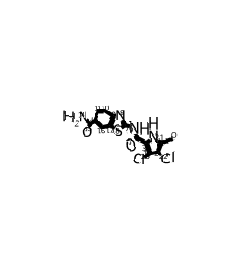 Cc1[nH]c(C(=O)Nc2nc3ccc(C(N)=O)cc3s2)c(Cl)c1Cl